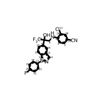 N#Cc1ccc(NCC(O)(c2ccc3c(cnn3-c3ccc(F)cc3)c2)C(F)(F)F)c(Cl)c1